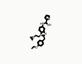 CCOc1ccc(Cc2nc3cc(NC(=N)c4cccs4)ccc3n2CCN2CC2)cc1